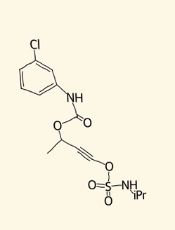 CC(C)NS(=O)(=O)OC#CC(C)OC(=O)Nc1cccc(Cl)c1